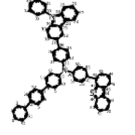 c1ccc(-c2ccc(-c3ccc(N(c4ccc(-c5ccc6c(c5)c5ccccc5n6-c5ccccc5)cc4)c4ccc(-c5cccc6c5sc5ccccc56)cc4)cc3)cc2)cc1